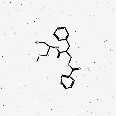 CSCC(CO)NC(=O)C(CSC(=O)c1ccccc1)Cc1ccccc1